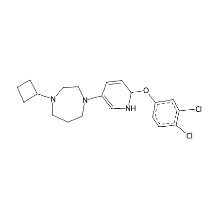 Clc1ccc(OC2C=CC(N3CCCN(C4CCC4)CC3)=[C]N2)cc1Cl